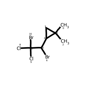 CC1(C)CC1C(Br)C(Cl)(Cl)Br